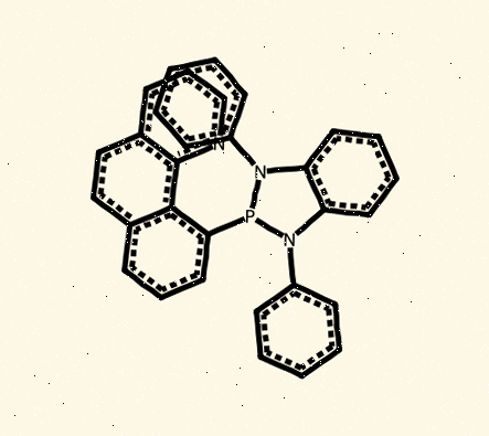 c1ccc(N2c3ccccc3N(c3ccccc3)P2c2cccc3ccc4cccnc4c23)cc1